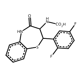 O=C(O)NC1C(=O)Nc2ccccc2SC1c1cc(F)ccc1F